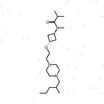 CCCC(C)CN1CCN(CCO[C@H]2C[C@H](N(C)C(=O)C(C)C)C2)CC1